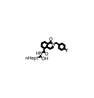 CCCCCCCC(O)NC(=O)c1cccc2c(=O)n(Cc3ccc(F)cc3)ccc12